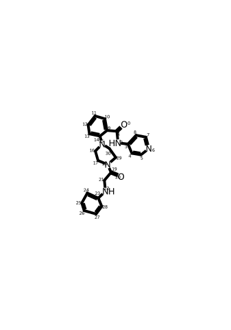 O=C(Nc1ccncc1)c1ccccc1N1CCN(C(=O)CNc2ccccc2)CC1